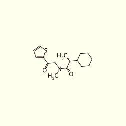 C[C@H](C(=O)N(C)CC(=O)c1cccs1)C1CCCCC1